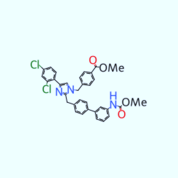 COC(=O)Nc1cccc(-c2ccc(Cc3nc(-c4ccc(Cl)cc4Cl)cn3Cc3ccc(C(=O)OC)cc3)cc2)c1